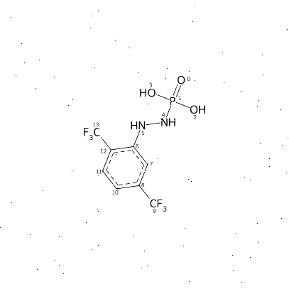 O=P(O)(O)NNc1cc(C(F)(F)F)ccc1C(F)(F)F